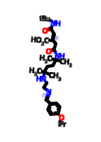 CC(C)Oc1ccc(/C=N/CCNC(C)(C)CCC(C)(C)NC(=O)C/C(=C/C(=O)NC(C)(C)C)C(=O)O)cc1